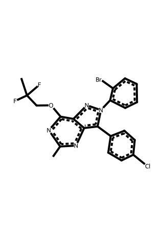 Cc1nc(OCC(C)(F)F)c2nn(-c3ccccc3Br)c(-c3ccc(Cl)cc3)c2n1